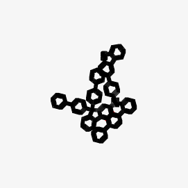 c1ccc(-c2ccc(-c3ccccc3N(c3ccc(-c4ccc5sc6ccccc6c5c4)cc3)c3ccc4c(c3)C(c3ccc(-c5ccccc5)cc3)(c3ccc(-c5ccccc5)cc3)c3ccccc3-4)cc2)cc1